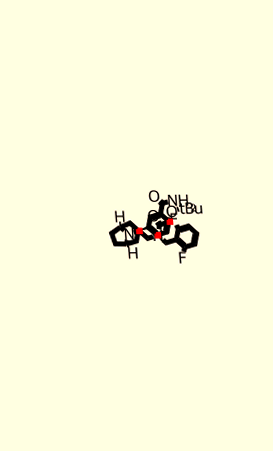 CC(C)(C)OCC(=O)N(CCN1[C@@H]2CC[C@H]1C[C@@H](c1cccc(C(N)=O)c1)C2)Cc1c(F)cccc1F